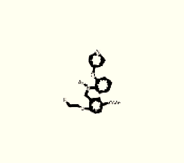 COc1ccc(OCCF)c(CN(C(C)=O)c2ccccc2Oc2ccncc2)c1